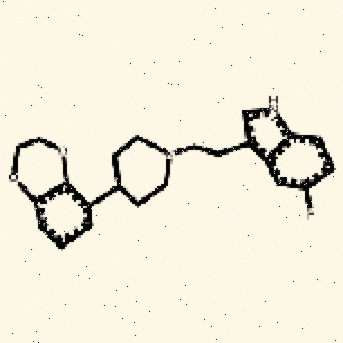 Fc1ccc2[nH]cc(CCN3CCC(c4cccc5c4OCCO5)CC3)c2c1